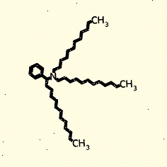 CCCCCCCCCCCCC(c1ccccc1)N(CCCCCCCCCCCC)CCCCCCCCCCCC